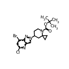 CC(C)(C)OC(=O)N1CCC(n2cc3nc(Cl)cc(Br)c3n2)CC12CC2